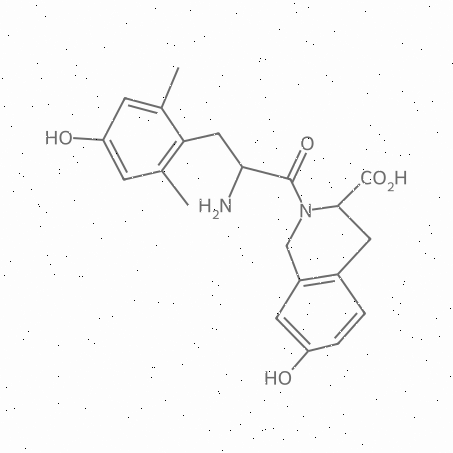 Cc1cc(O)cc(C)c1CC(N)C(=O)N1Cc2cc(O)ccc2CC1C(=O)O